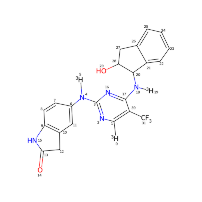 [3H]c1nc(N([3H])c2ccc3c(c2)CC(=O)N3)nc(N([3H])C2c3ccccc3CC2O)c1C(F)(F)F